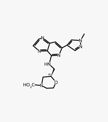 Cn1cc(-c2cc3nccnc3c(NC[C@@H]3CN(C(=O)O)CCO3)n2)cn1